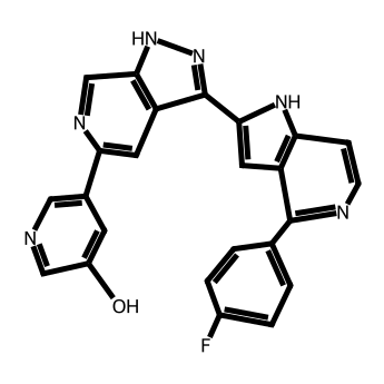 Oc1cncc(-c2cc3c(-c4cc5c(-c6ccc(F)cc6)nccc5[nH]4)n[nH]c3cn2)c1